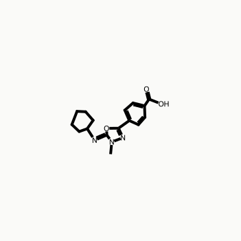 Cn1nc(-c2ccc(C(=O)O)cc2)oc1=NC1CCCCC1